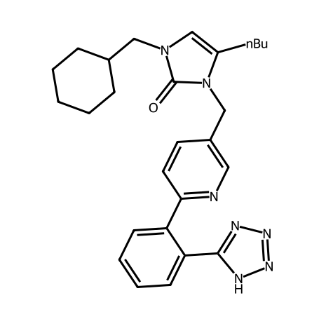 CCCCc1cn(CC2CCCCC2)c(=O)n1Cc1ccc(-c2ccccc2-c2nnn[nH]2)nc1